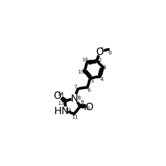 COc1ccc(CCN2C(=O)CNC2=O)cc1